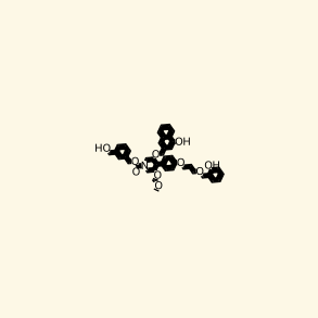 COCOC1CN(C(=O)OCc2cccc(CO)c2)CC(OCc2cc(O)c3ccccc3c2)C1c1ccc(OCCCOCc2ccccc2O)cc1